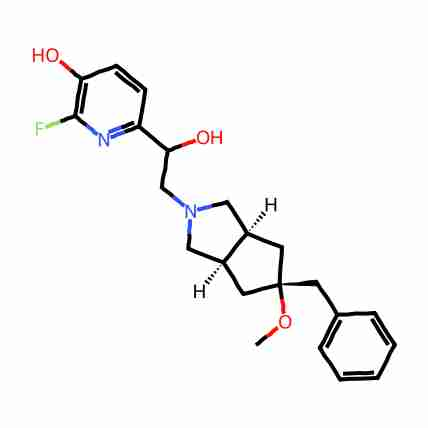 CO[C@]1(Cc2ccccc2)C[C@H]2CN(CC(O)c3ccc(O)c(F)n3)C[C@H]2C1